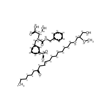 CCCCCCC(=O)CCCCCCCCCCCOCC(CO)OC.O=C(O)[C@H](CO)N(Cc1cccc(P(=O)=O)c1)C(=O)OCc1ccccc1